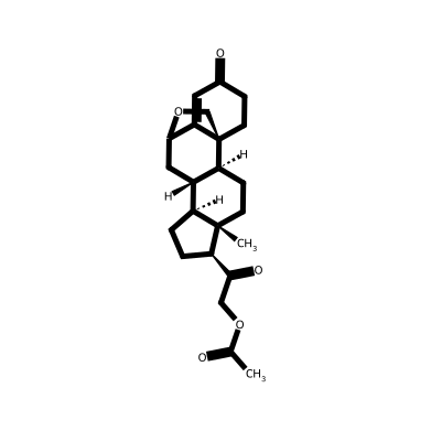 CC(=O)OCC(=O)[C@H]1CC[C@H]2[C@@H]3CC4OC[C@@]5(CCC(=O)C=C45)[C@H]3CC[C@]12C